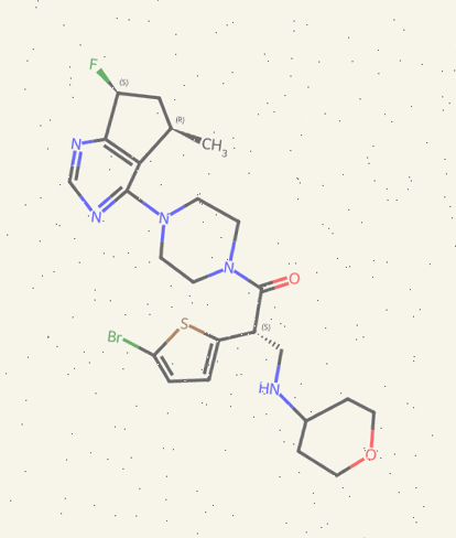 C[C@@H]1C[C@H](F)c2ncnc(N3CCN(C(=O)[C@H](CNC4CCOCC4)c4ccc(Br)s4)CC3)c21